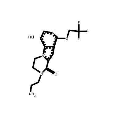 Cl.NCCN1CCn2c(cc3c(OCC(F)(F)F)nccc32)C1=O